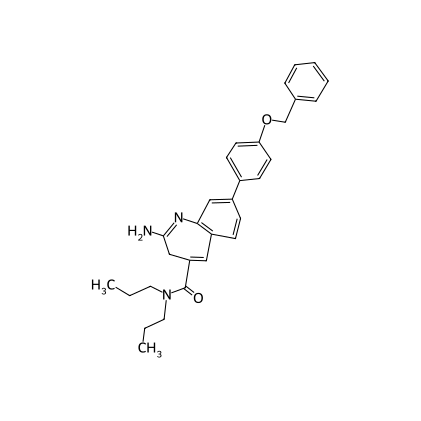 CCCN(CCC)C(=O)C1=Cc2ccc(-c3ccc(OCc4ccccc4)cc3)cc2N=C(N)C1